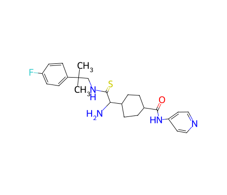 CC(C)(CNC(=S)C(N)C1CCC(C(=O)Nc2ccncc2)CC1)c1ccc(F)cc1